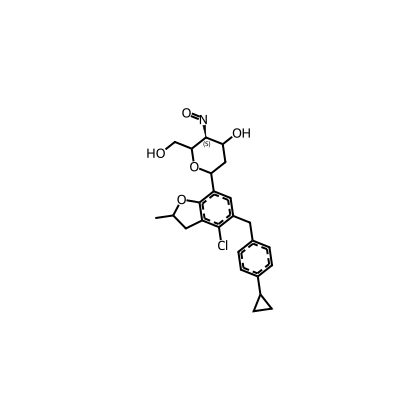 CC1Cc2c(Cl)c(Cc3ccc(C4CC4)cc3)cc(C3CC(O)[C@H](N=O)C(CO)O3)c2O1